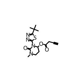 C#CCC(=O)OC1CCN(C)C(=O)N1c1nnc(C(C)(C)C)s1